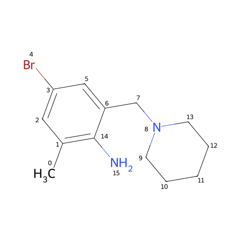 Cc1cc(Br)cc(CN2CCCCC2)c1N